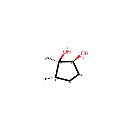 C[C@H]1CC[C@H](O)[C@]1(C)O